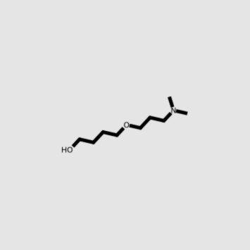 CN(C)CCCOCCCCO